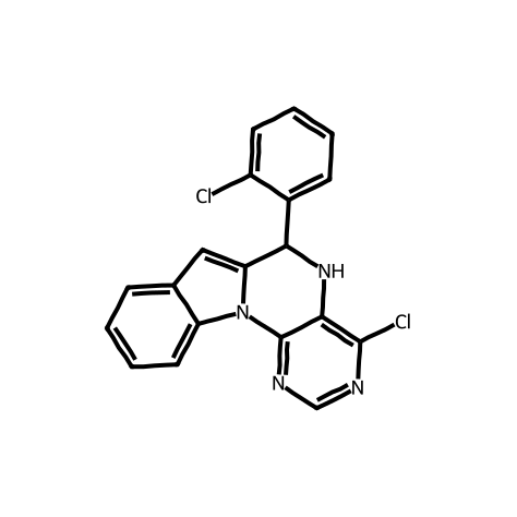 Clc1ccccc1C1Nc2c(Cl)ncnc2-n2c1cc1ccccc12